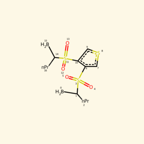 BC(CCC)S(=O)(=O)c1cscc1S(=O)(=O)C(B)CCC